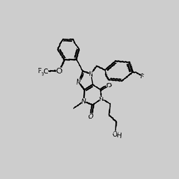 Cn1c(=O)n(CCCO)c(=O)c2c1nc(-c1ccccc1OC(F)(F)F)n2Cc1ccc(F)cc1